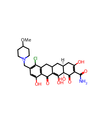 COC1CCN(Cc2cc(O)c3c(c2Cl)CC2C[C@H]4CC(O)=C(C(N)=O)C(=O)[C@@]4(O)C(O)=C2C3=O)CC1